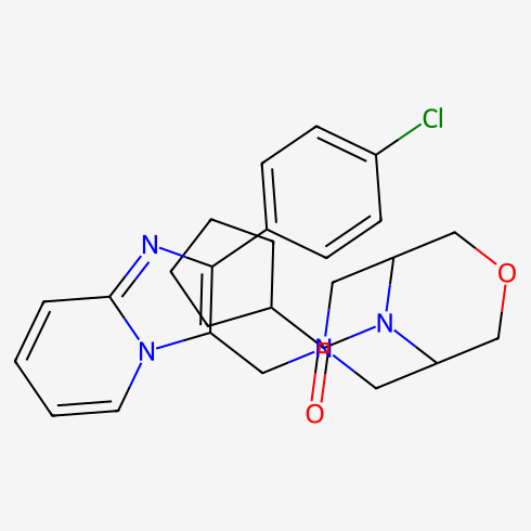 O=C(C1CCCC1)N1C2COCC1CN(Cc1c(-c3ccc(Cl)cc3)nc3ccccn13)C2